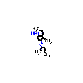 C=C/C=C\C(=C/C)N=Nc1ccc(N=N)c(/C=C\C=C)c1C=C